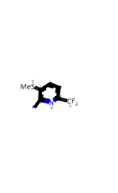 CSc1ccc(C(F)(F)F)nc1C